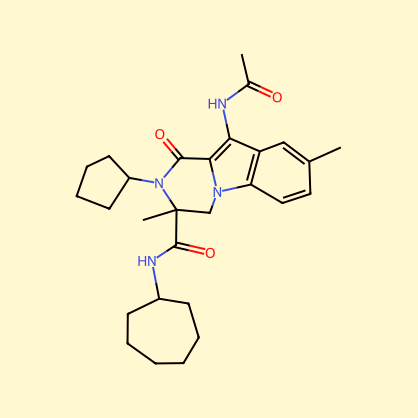 CC(=O)Nc1c2n(c3ccc(C)cc13)CC(C)(C(=O)NC1CCCCCC1)N(C1CCCC1)C2=O